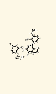 CCOC(=O)Cc1ccc(F)cc1OCc1cc(-c2ccnc(CN)c2F)c2occc2c1F